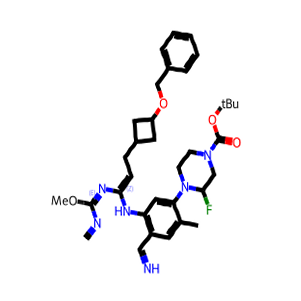 C=N/C(=N\C(=C/CC1CC(OCc2ccccc2)C1)Nc1cc(N2CCN(C(=O)OC(C)(C)C)CC2F)c(C)cc1C=N)OC